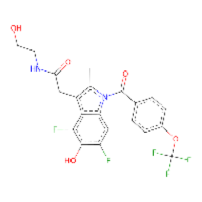 Cc1c(CC(=O)NCCO)c2c(F)c(O)c(F)cc2n1C(=O)c1ccc(OC(F)(F)F)cc1